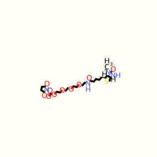 CCN1C(=O)N[C@H]2CS[C@@H](CCCCC(=O)NCCOCCOCCOCCOC(=O)ON3C(=O)CCC3=O)[C@H]21